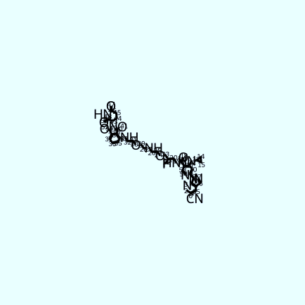 N#Cc1cnc2c(cnn2-c2cc(NC3CC3)c(C(=O)NCC(F)COCCNCCOCCNc3cccc4c3C(=O)N(C3CCC(=O)NC3=O)C4=O)cn2)c1